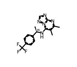 Cc1nc2ncnn2c(N[C@H](C)c2ccc(C(F)(F)F)cc2)c1C